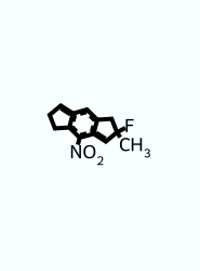 CC1(F)C=c2c(cc3c(c2[N+](=O)[O-])CCC=3)C1